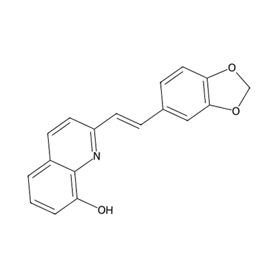 Oc1cccc2ccc(C=Cc3ccc4c(c3)OCO4)nc12